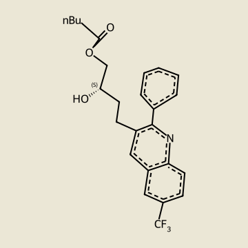 CCCCC(=O)OC[C@@H](O)CCc1cc2cc(C(F)(F)F)ccc2nc1-c1ccccc1